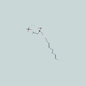 CCCCCCCCCCCCCCCCCCOCC1(CC(C)OC(C)(C)OC)CO1